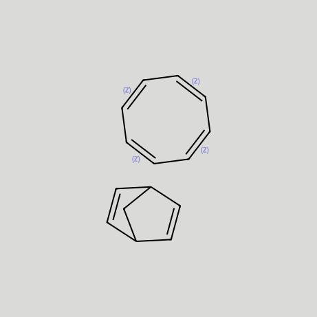 C1=CC2C=CC1C2.C1=C\C=C/C=C\C=C/1